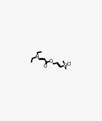 CCN(C=CC(=O)OCC=C[Si](C)(C)Cl)CC